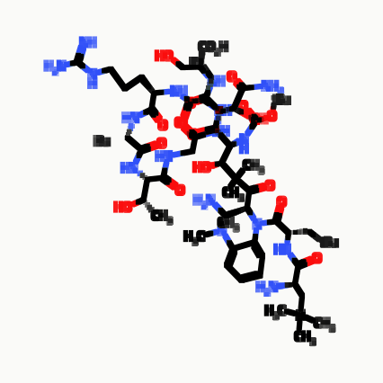 CC[C@H](C)[C@H](NC(=O)[C@@H](CCCNC(=N)N)NC(=O)[C@H](CC(C)C)NC(=O)[C@@H](NC(=O)OC(C)(C)C)[C@H](O)C(C)(C)C(=O)[C@H](CN)N(C(=O)[C@H](CC(C)(C)C)NC(=O)[C@H](N)C[Si](C)(C)C)c1ccccc1N(C)C)C(=O)N[C@H](C(=O)NCC(=O)N[C@H](C(=O)N[C@@H](CO)C(=O)O)[C@H](O)C(N)=O)[C@H](C)O